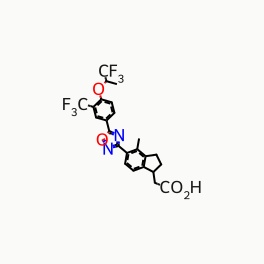 Cc1c(-c2noc(-c3ccc(OC(C)C(F)(F)F)c(C(F)(F)F)c3)n2)ccc2c1CCC2CC(=O)O